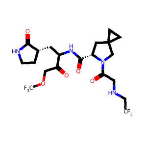 O=C(COC(F)(F)F)C(C[C@@H]1CCNC1=O)NC(=O)[C@@H]1CC2(CC2)CN1C(=O)CNCC(F)(F)F